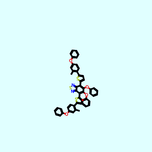 Cc1cc(Oc2ccccc2)ccc1-c1ccc(-c2c(Oc3ccccc3)c(Oc3ccccc3)c(-c3ccc(-c4ccc(Oc5ccccc5)cc4C)s3)c3nsnc23)s1